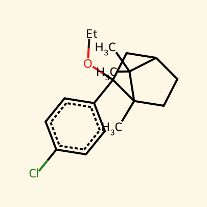 CCOC1(c2ccc(Cl)cc2)CC2CCC1(C)C2(C)C